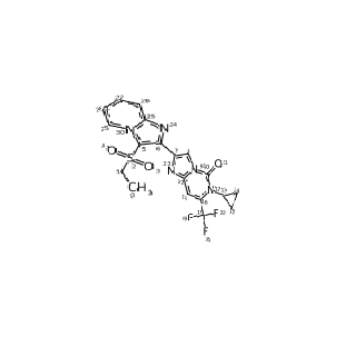 CCS(=O)(=O)c1c(-c2cn3c(=O)n(C4CC4)c(C(F)(F)F)cc3n2)nc2ccccn12